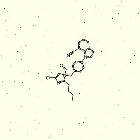 CCCCC1=NC(Cl)=C[N+]1(C=O)Cc1ccc(-n2ccc3cccc(C#N)c32)cc1